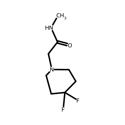 CNC(=O)CN1CCC(F)(F)CC1